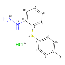 Cc1ccc(Sc2ccccc2NN)cc1.Cl